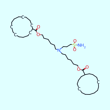 NS(=O)(=O)CCCN(CCCCCCOC(=O)C1CCCCCCCCCCCCCC1)CCCCCCOC(=O)C1CCCCCCCCCCCCCC1